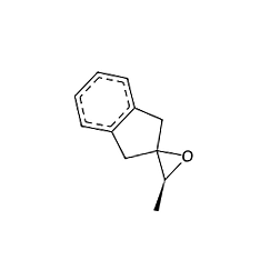 C[C@@H]1OC12Cc1ccccc1C2